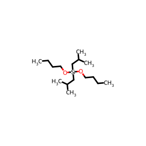 CCCCO[Si](CC(C)C)(CC(C)C)OCCCC